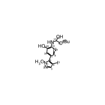 Cn1ncc(I)c1-c1cnc(NC(O)OC(C)(C)C)c(O)c1